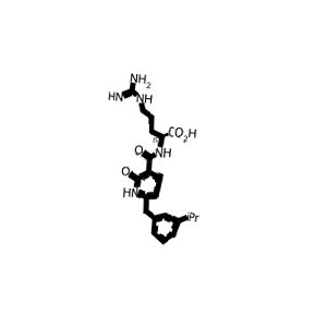 CC(C)c1cccc(Cc2ccc(C(=O)N[C@@H](CCCNC(=N)N)C(=O)O)c(=O)[nH]2)c1